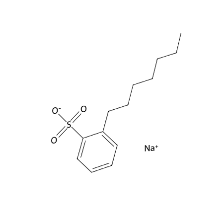 CCCCCCCc1ccccc1S(=O)(=O)[O-].[Na+]